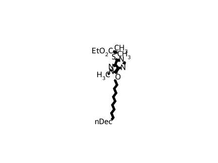 CCCCCCCCCCCCCCCCCCCCOc1c2ncnc(SC(C)(C)C(=O)OCC)c2nn1C